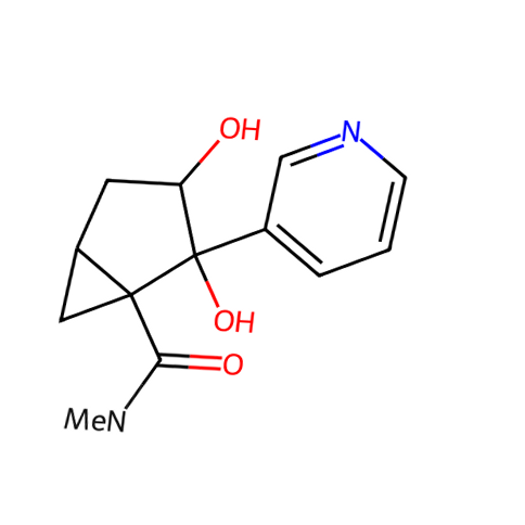 CNC(=O)C12CC1CC(O)C2(O)c1cccnc1